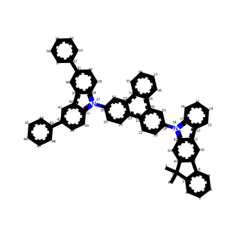 CC1(C)c2ccccc2-c2cc3c4ccccc4n(-c4ccc5c6ccc(-n7c8ccc(-c9ccccc9)cc8c8cc(-c9ccccc9)ccc87)cc6c6ccccc6c5c4)c3cc21